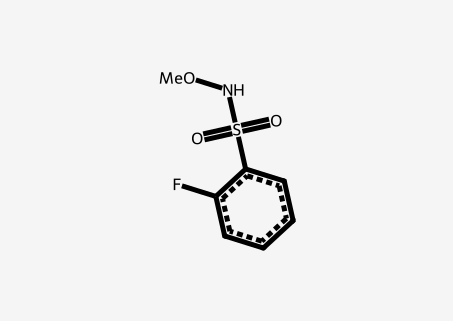 CONS(=O)(=O)c1ccccc1F